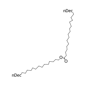 CCCCCCCCCCCCCCCCCCCCCCCCCC(=O)OCCCCCCCCCCCCCCCCCCCCCCCC